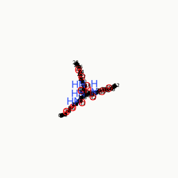 C#CCOCCOCCNC(=O)CCC(CCC(=O)NCCOCCOCC#C)(CCC(=O)NCCOCCOCC#C)NO